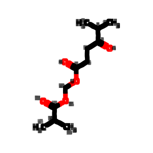 CC(C)C(=O)CCC(=O)OCOC(=O)C(C)C